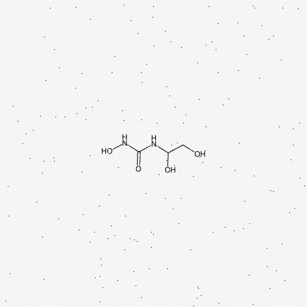 O=C(NO)NC(O)CO